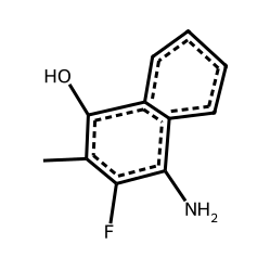 Cc1c(F)c(N)c2ccccc2c1O